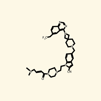 CN(C)C/C=C/C(=O)N1CCN(CCn2c(C#N)cc3cc(CN4CCC5(CC4)CN(c4ncnc6ccc(CC(F)(F)F)cc46)C5)ccc32)CC1